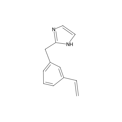 C=Cc1cccc(Cc2ncc[nH]2)c1